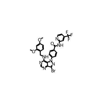 COc1ccc(CNc2ncnc3c(Br)nn(-c4ccc(C(=O)Nc5cc(C(F)(F)F)ccn5)cc4)c23)c(OC)c1